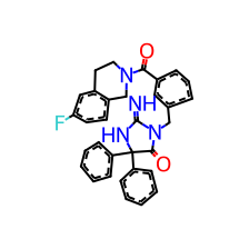 N=C1NC(c2ccccc2)(c2ccccc2)C(=O)N1Cc1cccc(C(=O)N2CCc3cc(F)ccc3C2)c1